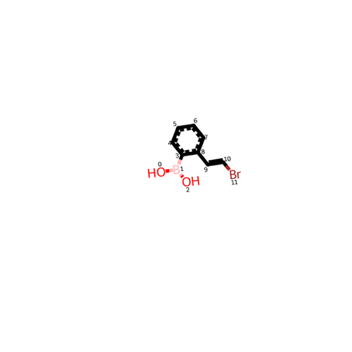 OB(O)c1ccccc1C=CBr